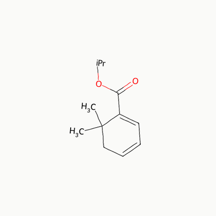 CC(C)OC(=O)C1=CC=CCC1(C)C